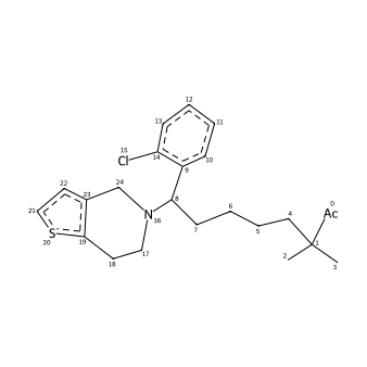 CC(=O)C(C)(C)CCCCC(c1ccccc1Cl)N1CCc2sccc2C1